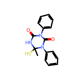 CC1(S)NC(=O)N(c2ccccc2)C(=O)N1c1ccccc1